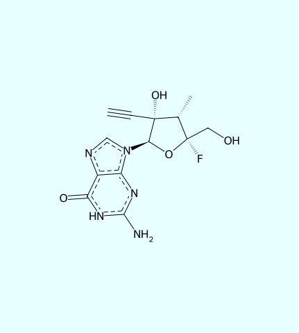 C#C[C@]1(O)[C@H](n2cnc3c(=O)[nH]c(N)nc32)O[C@](F)(CO)[C@H]1C